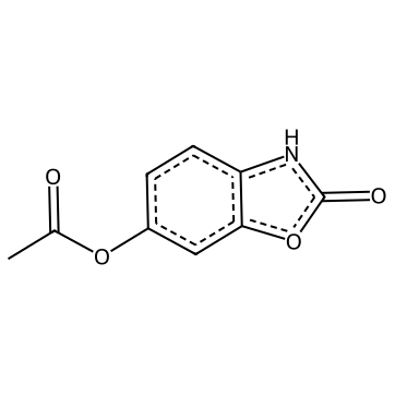 CC(=O)Oc1ccc2[nH]c(=O)oc2c1